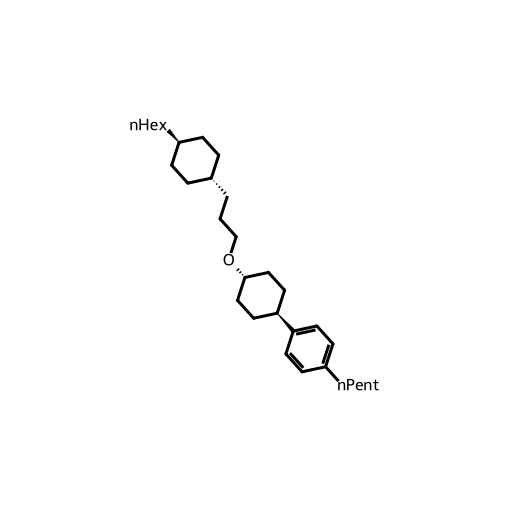 CCCCCC[C@H]1CC[C@H](CCCO[C@H]2CC[C@H](c3ccc(CCCCC)cc3)CC2)CC1